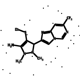 CCSC1=C(N)N(C)N(C)C1c1cn2cnc(C(F)(F)F)cc2n1